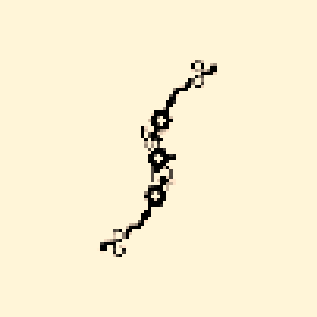 C=CC(=O)OCCCC#Cc1ccc(C(F)(F)Oc2ccc(OC(F)(F)c3ccc(C#CCCCOC(=O)C=C)cc3)c(C)c2)cc1